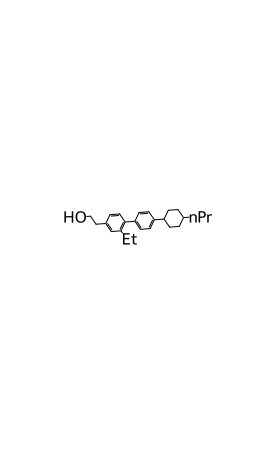 CCCC1CCC(c2ccc(-c3ccc(CCO)cc3CC)cc2)CC1